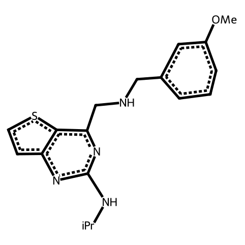 COc1cccc(CNCc2nc(NC(C)C)nc3ccsc23)c1